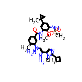 COc1c(NC(=O)c2ccc(C)c(N(N)/C=C(\N)c3cnc(C4CCC4)n3C)c2)cc(C2(C)CC2)cc1NS(C)(=O)=O